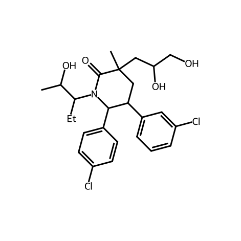 CCC(C(C)O)N1C(=O)C(C)(CC(O)CO)CC(c2cccc(Cl)c2)C1c1ccc(Cl)cc1